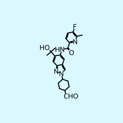 Cc1nc(C(=O)Nc2cc3cn(C4CCC(C=O)CC4)nc3cc2C(C)(C)O)ccc1F